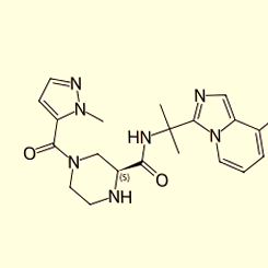 Cc1cccn2c(C(C)(C)NC(=O)[C@@H]3CN(C(=O)c4ccnn4C)CCN3)ncc12